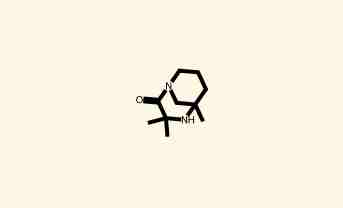 CC12CCCN(C1)C(=O)C(C)(C)N2